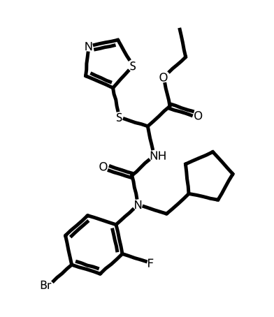 CCOC(=O)C(NC(=O)N(CC1CCCC1)c1ccc(Br)cc1F)Sc1cncs1